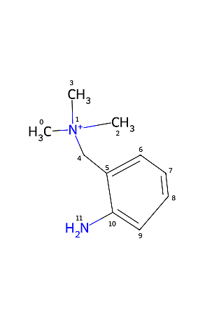 C[N+](C)(C)Cc1ccccc1N